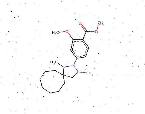 COC(=O)c1ccc(N2C(C)CC3(CCCCCCC3)C2C)cc1OC